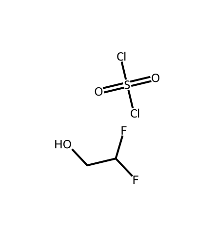 O=S(=O)(Cl)Cl.OCC(F)F